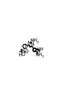 CC(C)(C)N(C(=O)O)C1CCCN(c2cc(-c3ccc4c(N)n[nH]c4c3)nc(N)n2)C1